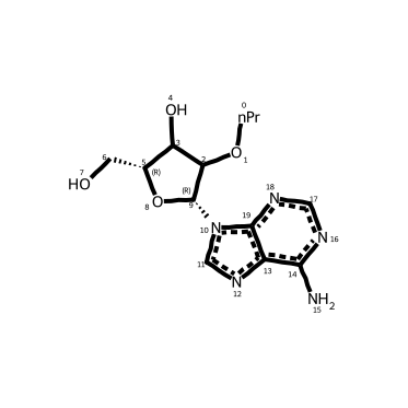 CCCOC1C(O)[C@@H](CO)O[C@H]1n1cnc2c(N)ncnc21